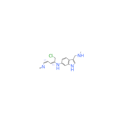 C=N/C=C\C=C(/CCl)Nc1ccc2c(CNC)c[nH]c2c1